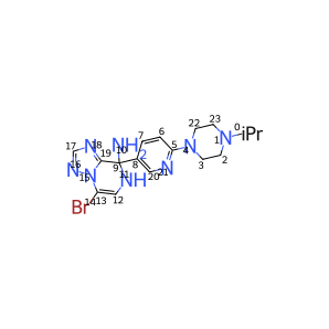 CC(C)N1CCN(c2ccc(C3(N)NC=C(Br)n4ncnc43)cn2)CC1